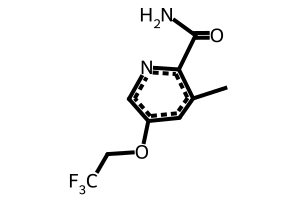 Cc1cc(OCC(F)(F)F)cnc1C(N)=O